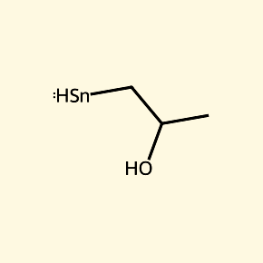 CC(O)[CH2][SnH]